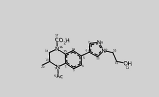 CC(=O)N1c2ccc(-c3cnn(CCO)c3)cc2N(C(=O)O)CC1C